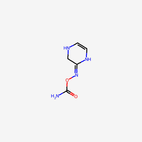 NC(=O)ON=C1CNC=CN1